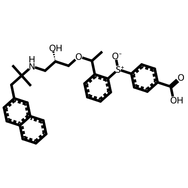 CC(OC[C@@H](O)CNC(C)(C)Cc1ccc2ccccc2c1)c1ccccc1[S+]([O-])c1ccc(C(=O)O)cc1